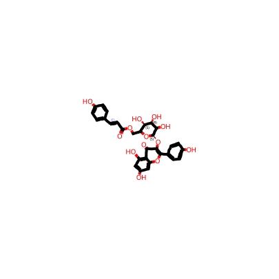 O=C(/C=C/c1ccc(O)cc1)OCC1O[C@@H](Oc2c(-c3ccc(O)cc3)oc3cc(O)cc(O)c3c2=O)C(O)[C@H](O)[C@@H]1O